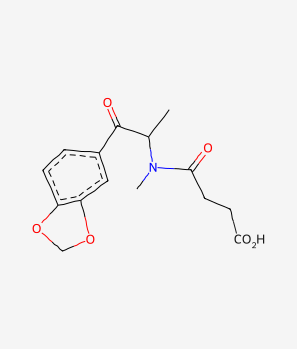 CC(C(=O)c1ccc2c(c1)OCO2)N(C)C(=O)CCC(=O)O